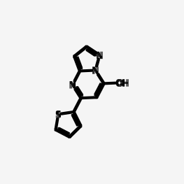 Oc1cc(-c2cccs2)nc2ccnn12